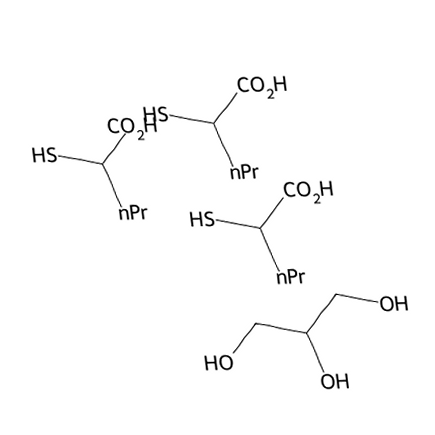 CCCC(S)C(=O)O.CCCC(S)C(=O)O.CCCC(S)C(=O)O.OCC(O)CO